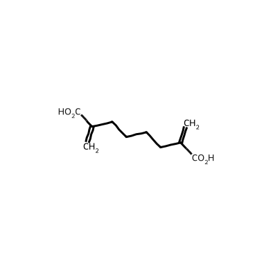 C=C(CCCCC(=C)C(=O)O)C(=O)O